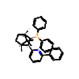 CC1(C)[C@@H]2CC[C@@]1(C)[C@H](c1cccc(-c3ccccc3)n1)[C@@H]2P(c1ccccc1)c1ccccc1